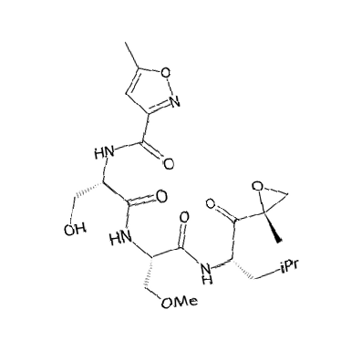 COC[C@H](NC(=O)[C@H](CO)NC(=O)c1cc(C)on1)C(=O)N[C@@H](CC(C)C)C(=O)[C@@]1(C)CO1